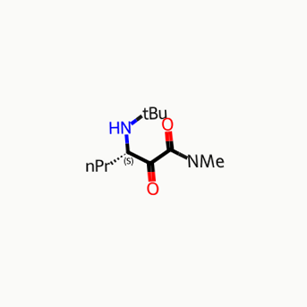 CCC[C@H](NC(C)(C)C)C(=O)C(=O)NC